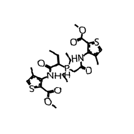 CCC(C(=O)Nc1c(C)csc1C(=O)OC)[PH](CC)(CC)CC(=O)Nc1c(C)csc1C(=O)OC